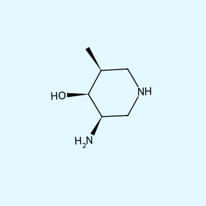 C[C@H]1CNC[C@@H](N)[C@H]1O